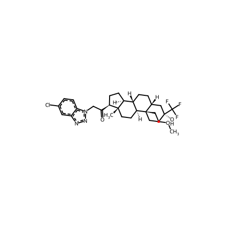 COCC[C@]12CC[C@](O)(C(F)(F)F)C[C@H]1CC[C@H]1[C@@H]3CC[C@H](C(=O)Cn4nnc5cc(Cl)ccc54)[C@@]3(C)CC[C@@H]12